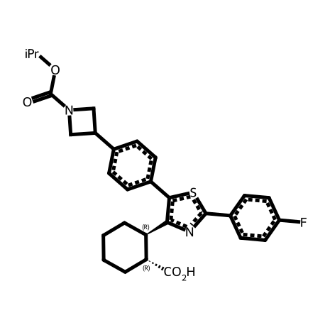 CC(C)OC(=O)N1CC(c2ccc(-c3sc(-c4ccc(F)cc4)nc3[C@@H]3CCCC[C@H]3C(=O)O)cc2)C1